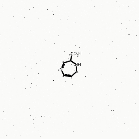 O=C(O)C1C=NC=CCN1